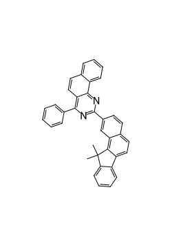 CC1(C)c2ccccc2-c2ccc3ccc(-c4nc(-c5ccccc5)c5ccc6ccccc6c5n4)cc3c21